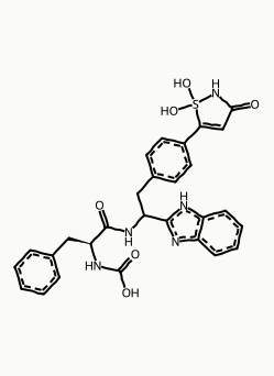 O=C(O)N[C@@H](Cc1ccccc1)C(=O)NC(Cc1ccc(C2=CC(=O)NS2(O)O)cc1)c1nc2ccccc2[nH]1